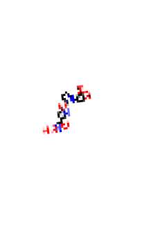 COc1ccc(CN2CCCCC2COc2ccc(C(=O)C=NO)cn2)cc1OC